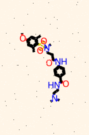 COc1cc(C)c(S(=O)(=O)N(C)CCC(=O)Nc2ccc(C(=O)NCCN(C)C)cc2)c(C)c1